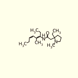 CC/C=C\C(C)=C(/CC)NC(=O)CC1(CC)CCCN1C